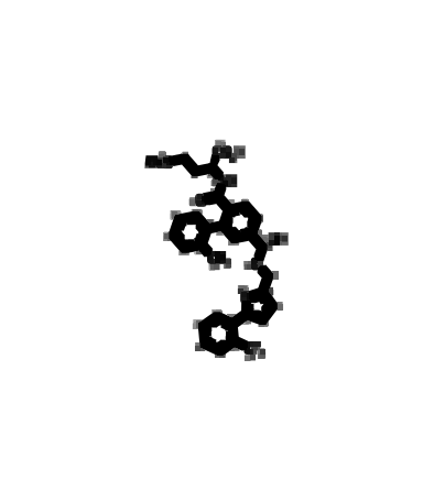 CSCC[C@H](NC(=O)c1ccc(COCc2ccc(-c3ccccc3C(F)(F)F)o2)cc1-c1ccccc1C)C(=O)O.[LiH]